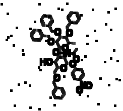 CC(=O)NC1C(Oc2ccc([N+](=O)[O-])cc2)OC(COCc2ccccc2)C(O)C1OC1OC(C)C(OCc2ccccc2)C(OCc2ccccc2)C1OCc1ccccc1